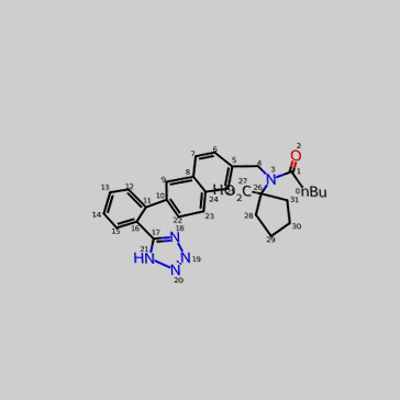 CCCCC(=O)N(Cc1ccc2cc(-c3ccccc3-c3nnn[nH]3)ccc2c1)C1(C(=O)O)CCCC1